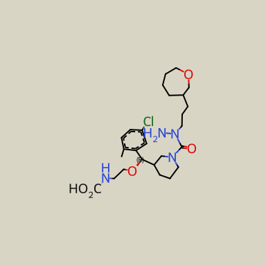 Cc1ccc(Cl)cc1[C@H](OCCNC(=O)O)C1CCCN(C(=O)N(N)CCCC2CCCCOC2)C1